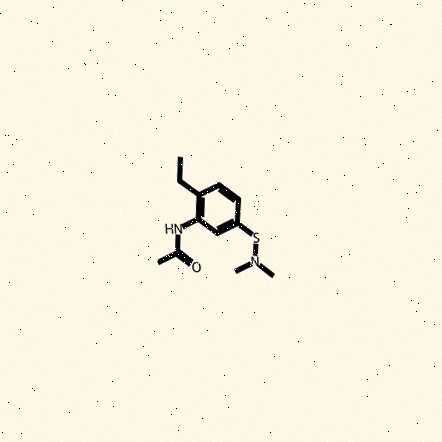 CCc1ccc(SN(C)C)cc1NC(C)=O